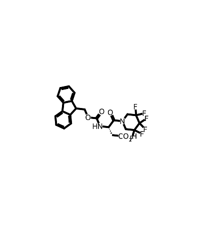 O=C(O)C[C@H](NC(=O)OCC1c2ccccc2-c2ccccc21)C(=O)N1CC(F)(F)C(F)(F)C(F)(F)C1